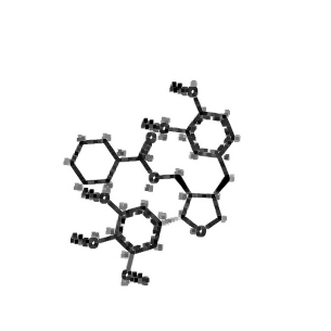 COc1ccc(C[C@H]2CO[C@H](c3cc(OC)c(OC)c(OC)c3)[C@H]2COC(=O)C2CCCCC2)cc1OC